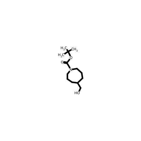 CC(C)(C)OC(=O)N1CCCC(CO)CCC1